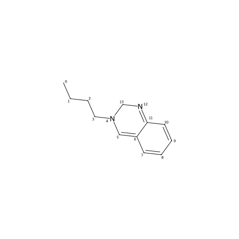 CCCCN1C=c2ccccc2=NC1